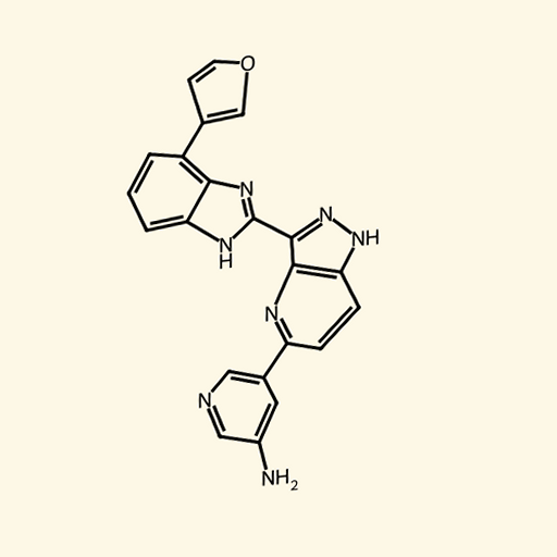 Nc1cncc(-c2ccc3[nH]nc(-c4nc5c(-c6ccoc6)cccc5[nH]4)c3n2)c1